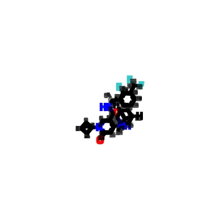 C[C@@H](NC(=O)c1cn(C23CC(C2)C3)c(=O)cc1NC1[C@@H]2C[C@H]1CN(C)C2)c1cccc(C(F)F)c1F